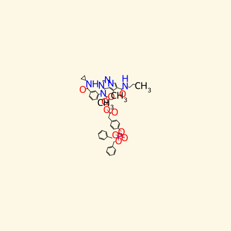 CCCNC(=O)c1cn2ncnc(N(C(=O)OCOC(=O)Cc3ccc(OP(=O)(OCc4ccccc4)OCc4ccccc4)cc3)c3cc(C(=O)NC4CC4)ccc3C)c2c1C